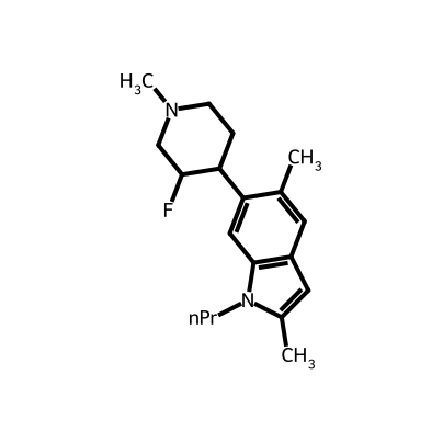 CCCn1c(C)cc2cc(C)c(C3CCN(C)CC3F)cc21